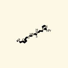 CCCc1nccn1CCCNC(=S)NCCSCc1ccc(CN(C)C)o1